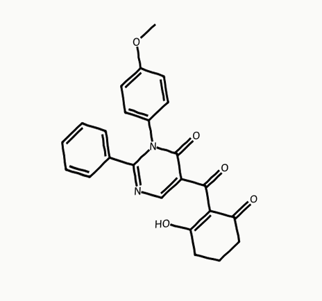 COc1ccc(-n2c(-c3ccccc3)ncc(C(=O)C3=C(O)CCCC3=O)c2=O)cc1